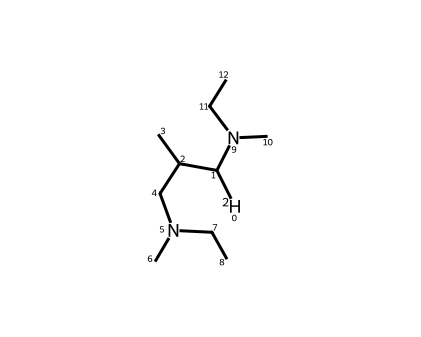 [2H]C(C(C)CN(C)CC)N(C)CC